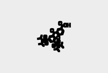 CC(C)N(C(C)C)S(=O)(=O)c1cc(S(=O)(=O)N(C(C)C)C(C)C)c2oc3ccc(C(=O)O)cc3c(=O)c2c1